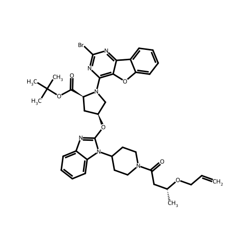 C=CCO[C@H](C)CC(=O)N1CCC(n2c(O[C@H]3C[C@@H](C(=O)OC(C)(C)C)N(c4nc(Br)nc5c4oc4ccccc45)C3)nc3ccccc32)CC1